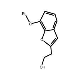 CCOc1cccc2cc(CCO)oc12